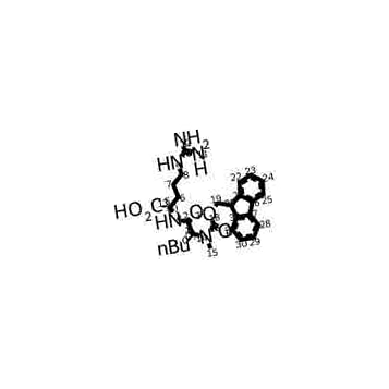 CCCC[C@@H](C(=O)N[C@@H](CCCNC(=N)N)C(=O)O)N(C)C(=O)OCC1c2ccccc2-c2ccccc21